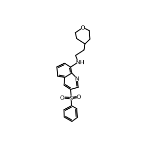 O=S(=O)(c1ccccc1)c1cnc2c(NCCC3CCOCC3)cccc2c1